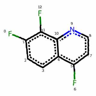 Fc1ccc2c(F)[c]cnc2c1F